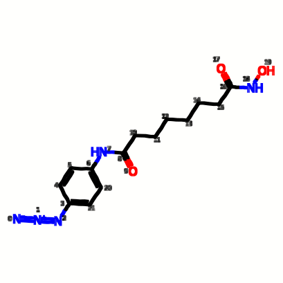 [N-]=[N+]=Nc1ccc(NC(=O)CCCCCCC(=O)NO)cc1